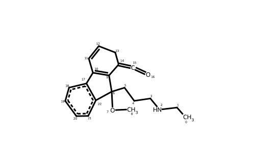 CCNCCCC1(OC)C2=C(C=CCC2=C=O)c2ccccc21